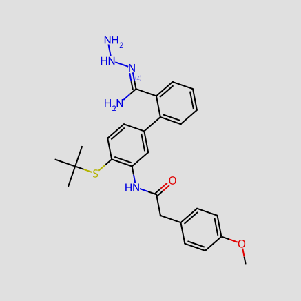 COc1ccc(CC(=O)Nc2cc(-c3ccccc3/C(N)=N/NN)ccc2SC(C)(C)C)cc1